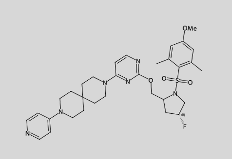 COc1cc(C)c(S(=O)(=O)N2C[C@H](F)CC2COc2nccc(N3CCC4(CCN(c5ccncc5)CC4)CC3)n2)c(C)c1